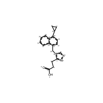 O=C(O)CCc1nncn1Cc1ccc(C2CC2)c2ccccc12